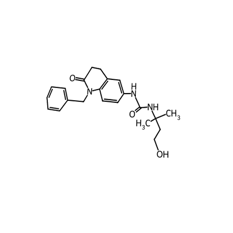 CC(C)(CCO)NC(=O)Nc1ccc2c(c1)CCC(=O)N2Cc1ccccc1